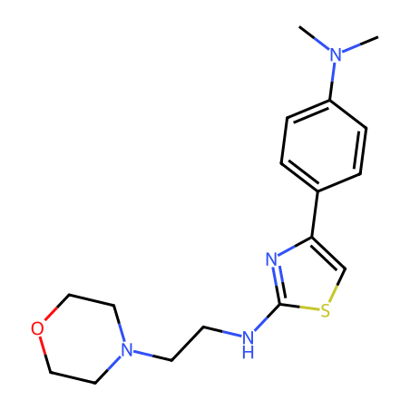 CN(C)c1ccc(-c2csc(NCCN3CCOCC3)n2)cc1